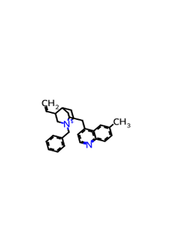 C=CC1C[N+]2(Cc3ccccc3)CCC1CC2Cc1ccnc2ccc(C)cc12